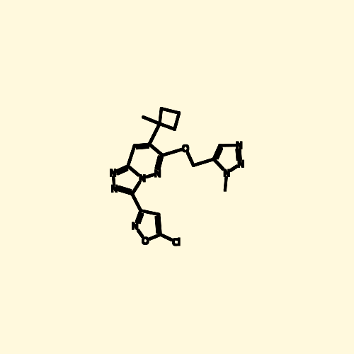 Cn1nncc1COc1nn2c(-c3cc(Cl)on3)nnc2cc1C1(C)CCC1